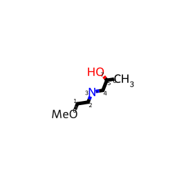 COCC[N]CC(C)O